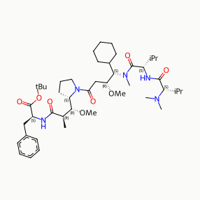 CO[C@H]([C@@H](C)C(=O)N[C@@H](Cc1ccccc1)C(=O)OC(C)(C)C)[C@@H]1CCCN1C(=O)C[C@@H](OC)[C@H](C1CCCCC1)N(C)C(=O)[C@@H](NC(=O)[C@H](C(C)C)N(C)C)C(C)C